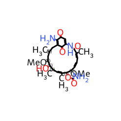 CO[C@H]1C=CC=C(C)C(=O)NC2=CC(=O)C(N)=C(C[C@@H](C)C[C@@H](OC)[C@@H](O)[C@@H](C)C=C(C)[C@@H]1OC(N)=O)C2=O